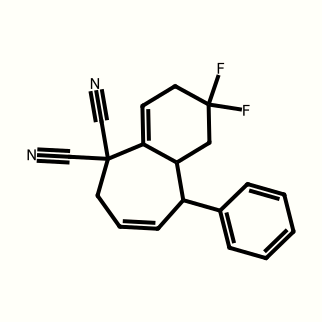 N#CC1(C#N)CC=CC(c2ccccc2)C2CC(F)(F)CC=C21